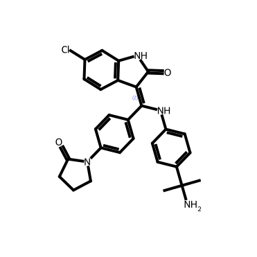 CC(C)(N)c1ccc(N/C(=C2\C(=O)Nc3cc(Cl)ccc32)c2ccc(N3CCCC3=O)cc2)cc1